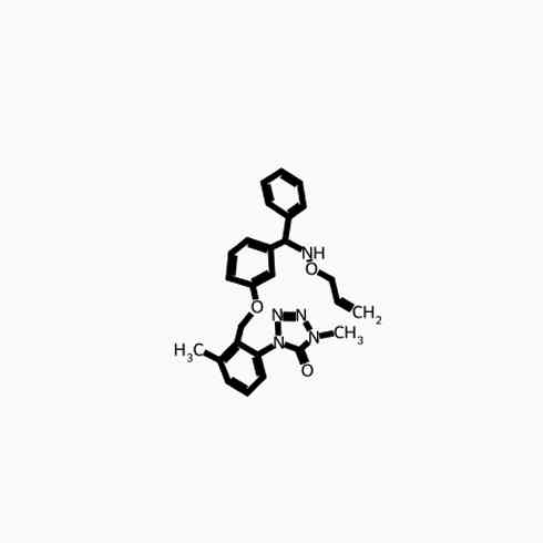 C=CCONC(c1ccccc1)c1cccc(OCc2c(C)cccc2-n2nnn(C)c2=O)c1